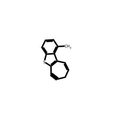 Cc1cccc2sc3c(c12)C=CCC#C3